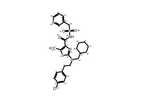 Cc1sc(N(CCc2ccc(Cl)cc2)CC2CCCCC2)nc1C(=O)NS(=O)(=O)Cc1cccnc1